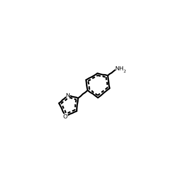 Nc1ccc(-c2cocn2)cc1